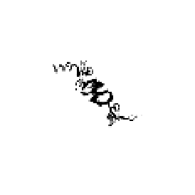 O=S(=O)(NCCO)c1ccc(-c2ccc(S(=O)(=O)NCCO)cc2)cc1